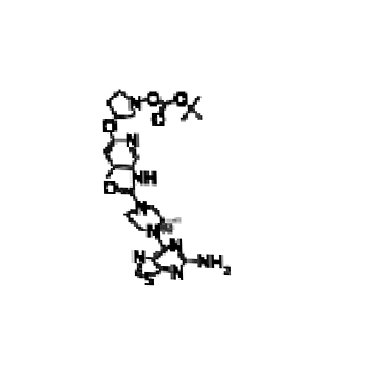 Cc1cc(OC2CCN(OC(=O)OC(C)(C)C)C2)ncc1NC(=O)N1CCN(c2nc(N)nc3scnc23)[C@@H](C)C1